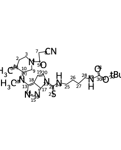 C[C@@H]1CCN(C(=O)CC#N)C[C@@H]1N(C)c1ncnc2c1ccn2C(=S)NCCCCNC(=O)OC(C)(C)C